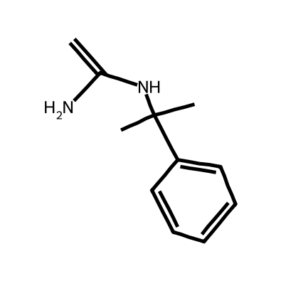 C=C(N)NC(C)(C)c1ccccc1